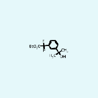 CCOC(=O)C(F)(F)c1cccc(C(C)(C)O)c1